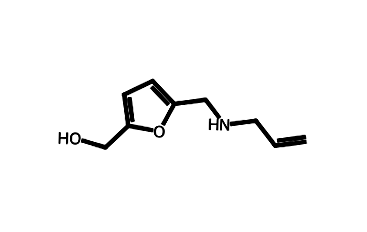 C=CCNCc1ccc(CO)o1